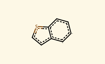 [c]1[c]c2ccsc2cc1